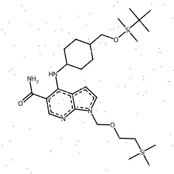 CC(C)(C)[Si](C)(C)OCC1CCC(Nc2c(C(N)=O)cnc3c2ccn3COCC[Si](C)(C)C)CC1